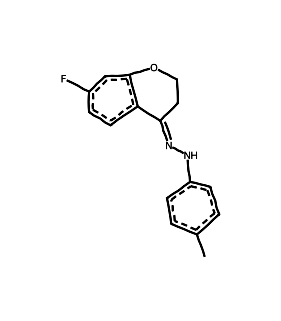 Cc1ccc(NN=C2CCOc3cc(F)ccc32)cc1